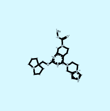 CC(C)(C)OC(=O)N1CCc2c(nc(OCC34CCCN3CCC4)nc2N2CCn3cncc3C2)C1